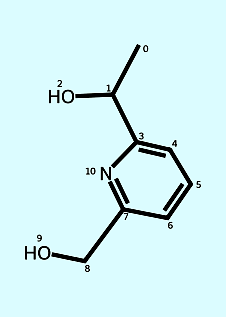 CC(O)c1cccc(CO)n1